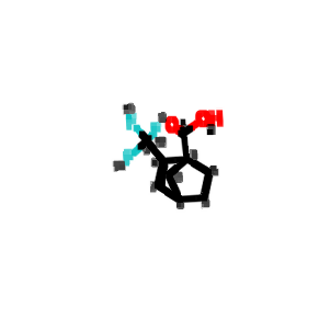 O=C(O)C12CCC(C=C1C(F)(F)F)C2